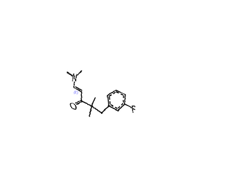 CN(C)/C=C/C(=O)C(C)(C)Cc1cccc(F)c1